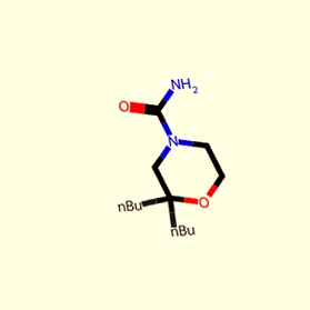 CCCCC1(CCCC)CN(C(N)=O)CCO1